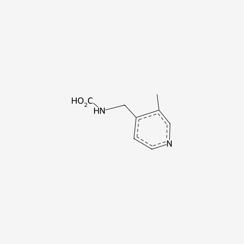 Cc1cnccc1CNC(=O)O